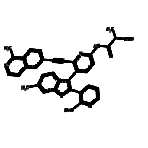 CNC(C)C(=O)Nc1ccc(-c2c(-c3cccnc3OC)nc3cc(C)ccn23)c(C#Cc2ccc3c(C)nccc3c2)n1